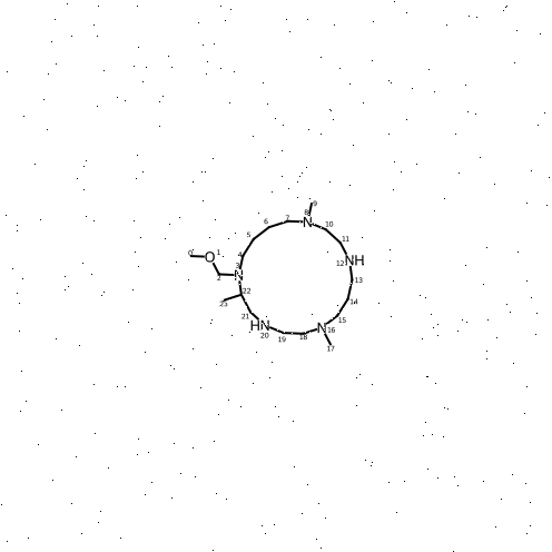 COCN1CCCCN(C)CCNCCCN(C)CCNCC1C